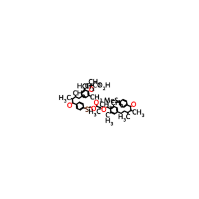 CSc1ccc(C(=O)C(C)C(C)CCc2cc(C)c(COC(C)(C)C(=O)OCSc3ccc(C(=O)C(C)C(C)Cc4cc(C)c(OC(C)(C)C(=O)O)c(C)c4)cc3)c(C)c2)cc1